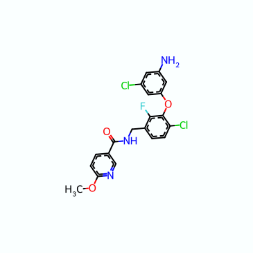 COc1ccc(C(=O)NCc2ccc(Cl)c(Oc3cc(N)cc(Cl)c3)c2F)cn1